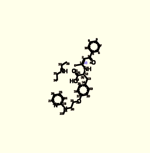 C/C(=C/C(=O)c1ccccc1)N[C@@H](Cc1ccc(OCCN(C)c2ccccn2)cc1)C(=O)O.CCNCC